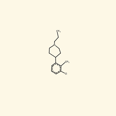 CCCN1CCC(c2cccc(Cl)c2C)CC1